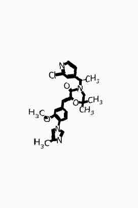 COc1cc(/C=C2\OC(C)(C)CN([C@@H](C)c3ccnc(Cl)c3)C2=O)ccc1-n1cnc(C)c1